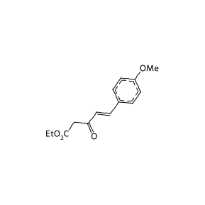 CCOC(=O)CC(=O)C=Cc1ccc(OC)cc1